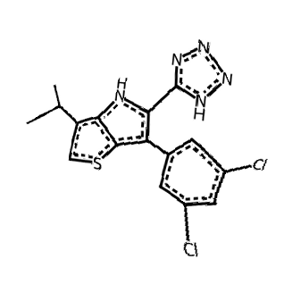 CC(C)c1csc2c(-c3cc(Cl)cc(Cl)c3)c(-c3nnn[nH]3)[nH]c12